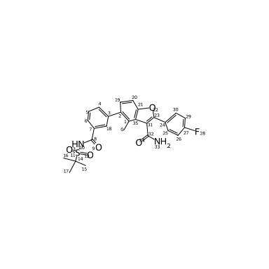 Cc1c(-c2cccc(C(=O)NS(=O)(=O)C(C)(C)C)c2)ccc2oc(-c3ccc(F)cc3)c(C(N)=O)c12